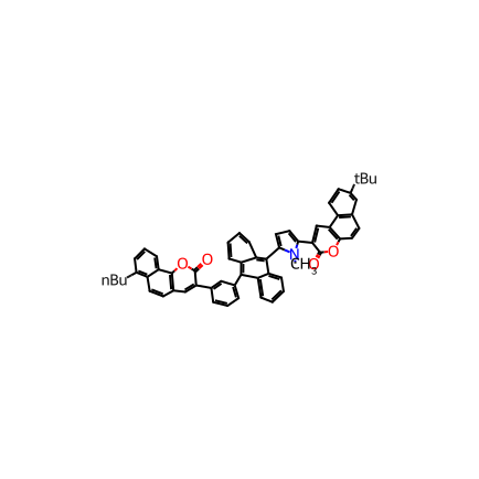 CCCCc1cccc2c1ccc1cc(-c3cccc(-c4c5ccccc5c(-c5ccc(-c6cc7c(ccc8cc(C(C)(C)C)ccc87)oc6=O)n5C)c5ccccc45)c3)c(=O)oc12